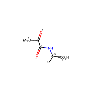 COC(=O)C(=O)N[C@H](C)C(=O)O